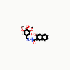 COc1cc(/C=N\NC(=O)c2cc3ccccc3cc2O)cc(OC)c1O